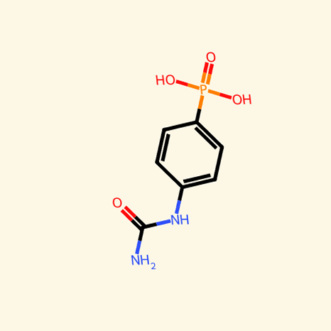 NC(=O)Nc1ccc(P(=O)(O)O)cc1